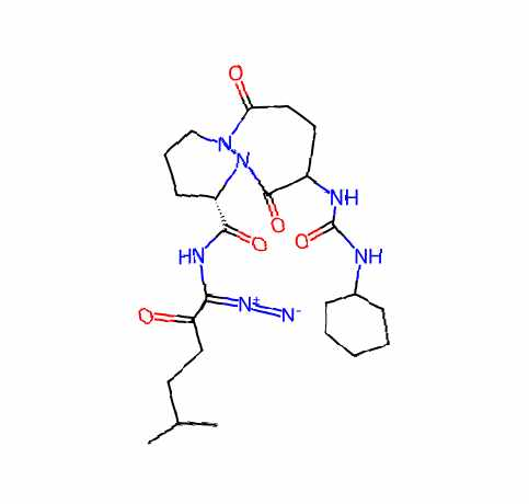 CC(C)CCC(=O)C(=[N+]=[N-])NC(=O)[C@@H]1CCCN2C(=O)CCC(NC(=O)NC3CCCCC3)C(=O)N12